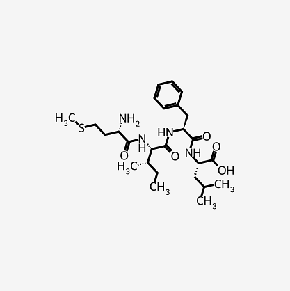 CC[C@H](C)[C@H](NC(=O)[C@@H](N)CCSC)C(=O)N[C@@H](Cc1ccccc1)C(=O)N[C@@H](CC(C)C)C(=O)O